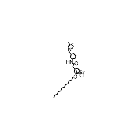 Br.CCCCCCCCCCCCOc1cc(CC(=O)Nc2cccc(CN3C=C(C)SC3)c2)ccc1Cl